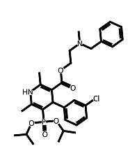 CC1=C(C(=O)OCCN(C)Cc2ccccc2)C(c2cccc(Cl)c2)C(P(=O)(OC(C)C)OC(C)C)=C(C)N1